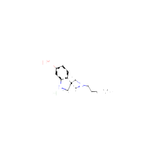 COCCN1CC2(CNc3cc(O)ccc32)C1.Cl